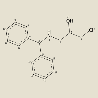 OC(CCl)CNC(c1ccccc1)c1ccccc1